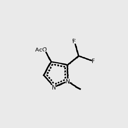 CC(=O)Oc1cnn(C)c1C(F)F